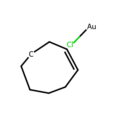 C1=C\CCCCCC/1.[Cl][Au]